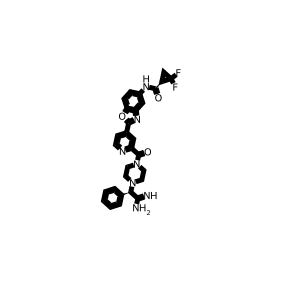 N=C(N)[C@H](c1ccccc1)N1CCN(C(=O)c2cc(-c3nc4cc(NC(=O)[C@@H]5CC5(F)F)ccc4o3)ccn2)CC1